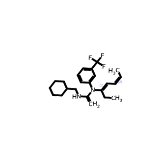 C=C(NCC1CCCCC1)N(/C(=C/C=C\C)CC)c1cccc(C(F)(F)F)c1